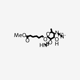 COC(=O)CCCCCO[C@H]1OC(C)[C@@H](N=[N+]=[N-])[C@H](O)C1OB=N